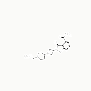 COCC1CCC(N2CC(N3Cc4cccc(C(N)=O)c4C3=O)C2)CC1